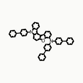 c1ccc(-c2ccc(N(c3ccc(-c4ccccc4)cc3)c3cccc4c3oc3ccc5c(c6ccccc6n5-c5ccc(-c6ccccc6)cc5)c34)cc2)cc1